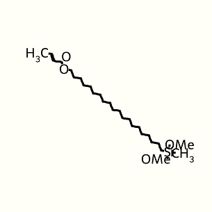 CC=CC(=O)OCCCCCCCCCCCCCCCCCCCC[Si](C)(OC)OC